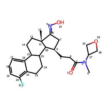 CN(C(=O)CC[C@@H]1C/C(=N\O)[C@@]2(C)CCC3c4cccc(F)c4CCC3C12)C1COC1